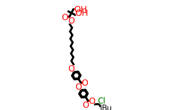 CCC(C)C(Cl)COC(=O)c1ccc(OC(=O)c2ccc(OCCCCCCCCCCCCOC(=O)C(C)(CO)CO)cc2)cc1